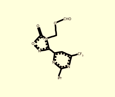 CC(C)c1nc(-c2noc(=O)n2COC=O)cc(C(F)(F)F)n1